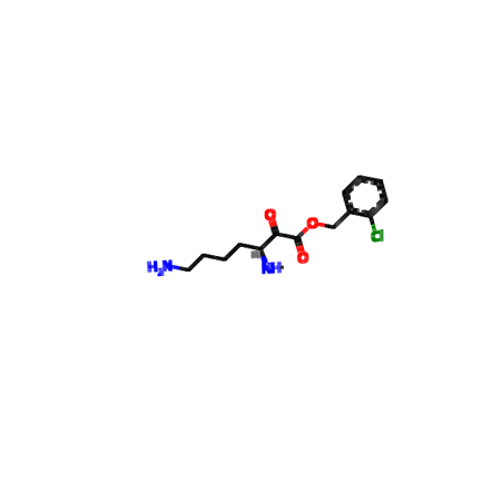 [NH][C@@H](CCCCN)C(=O)C(=O)OCc1ccccc1Cl